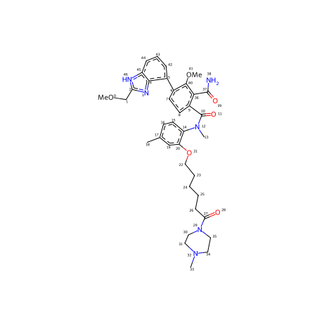 COCc1nc2c(-c3ccc(C(=O)N(C)c4ccc(C)cc4OCCCCCC(=O)N4CCN(C)CC4)c(C(N)=O)c3OC)cccc2[nH]1